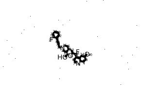 COc1ccc2nccc([C@@H](F)CC[C@@H]3CCN(CC#Cc4ccccc4F)C[C@@H]3C(=O)O)c2c1